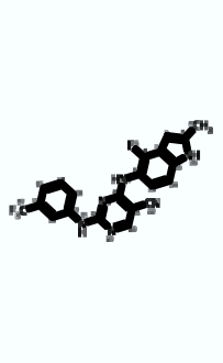 Cc1cc2c(F)c(Nc3nc(Nc4cccc(C(F)(F)F)c4)ncc3C#N)ccc2[nH]1